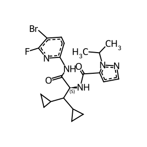 CC(C)n1nccc1C(=O)N[C@H](C(=O)Nc1ccc(Br)c(F)n1)C(C1CC1)C1CC1